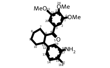 COc1cc(C(=O)C2CCCCC2c2ccc(F)c(N)c2)cc(OC)c1OC